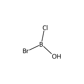 OB(Cl)Br